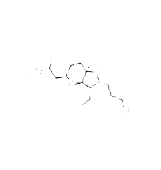 [C-]#[N+][C@H](C)C[C@H]1CC[C@@H]2O[C@@H](CCCO)[C@@H](CI)C2O1